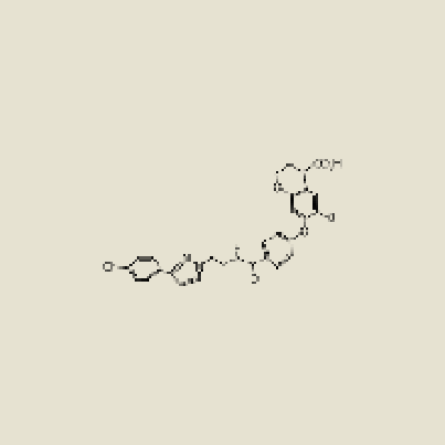 O=C(NCCn1ccc(-c2ccc(Cl)cc2)n1)c1ccc(Oc2cc3c(cc2Cl)C(C(=O)O)CCO3)cc1